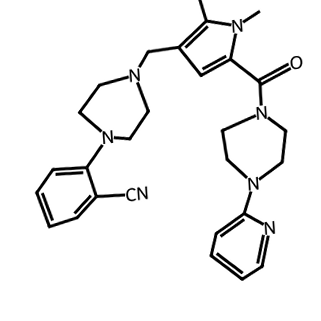 Cc1c(CN2CCN(c3ccccc3C#N)CC2)cc(C(=O)N2CCN(c3ccccn3)CC2)n1C